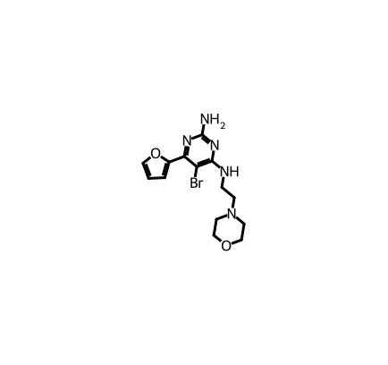 Nc1nc(NCCN2CCOCC2)c(Br)c(-c2ccco2)n1